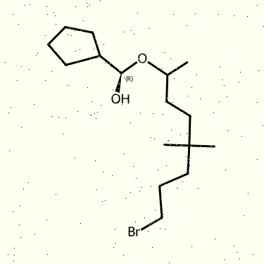 CC(CCC(C)(C)CCCBr)O[C@@H](O)C1CCCC1